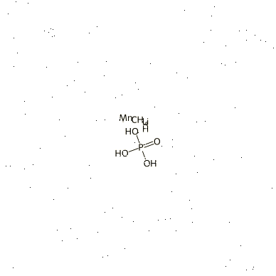 C.O=P(O)(O)O.[LiH].[Mn]